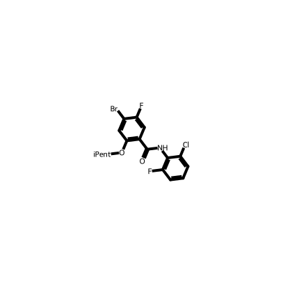 CCCC(C)Oc1cc(Br)c(F)cc1C(=O)Nc1c(F)cccc1Cl